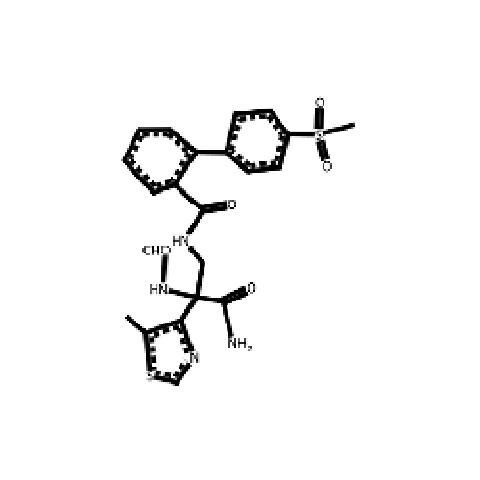 Cc1scnc1C(CNC(=O)c1ccccc1-c1ccc(S(C)(=O)=O)cc1)(NC=O)C(N)=O